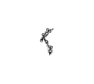 C=CCOC(=O)c1ccc(C[S+]([O-])C2CC(=O)N2CCOCCCCCC(=O)c2ccc(F)cc2)cc1